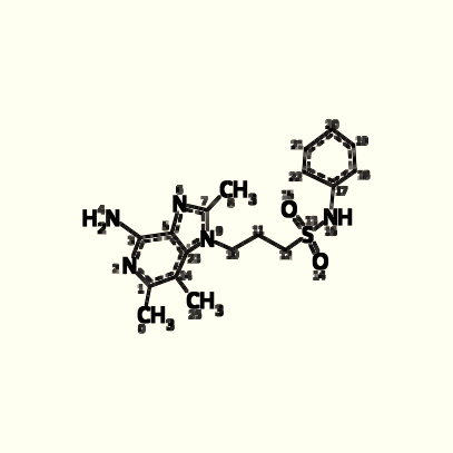 Cc1nc(N)c2nc(C)n(CCCS(=O)(=O)Nc3ccccc3)c2c1C